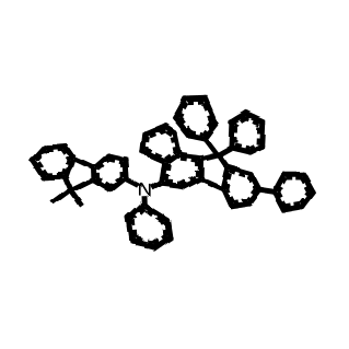 CC1(C)c2ccccc2-c2ccc(N(c3ccccc3)c3cc4c(c5ccccc35)C(c3ccccc3)(c3ccccc3)c3cc(-c5ccccc5)ccc3-4)cc21